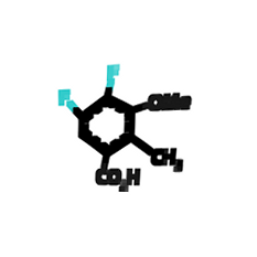 COc1c(C)c(C(=O)O)cc(F)c1F